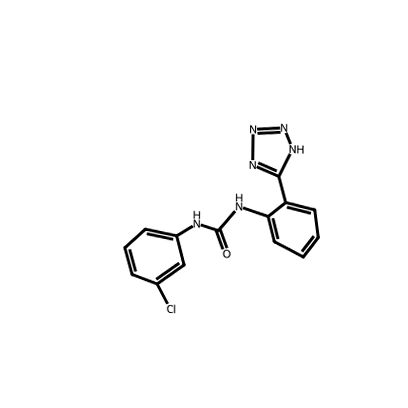 O=C(Nc1cccc(Cl)c1)Nc1ccccc1-c1nnn[nH]1